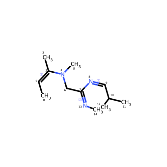 C/C=C(/C)N(C)CC(/N=C\C(C)C)=N/C